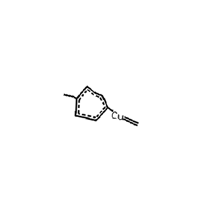 [CH2]=[Cu][c]1ccc(C)cc1